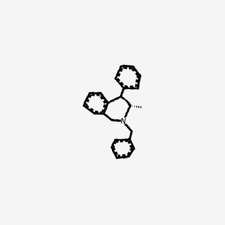 C[C@H]1C(c2ccccc2)c2ccccc2CN1Cc1ccccc1